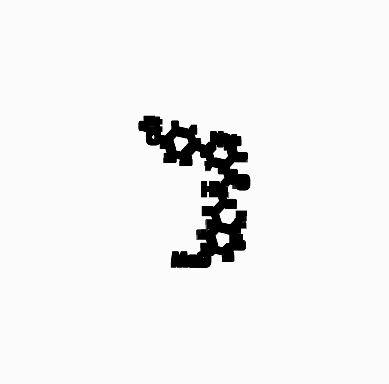 CCOc1ccc(-c2cc(C(=O)NCCc3cc(OC)cnc3F)cnn2)cc1